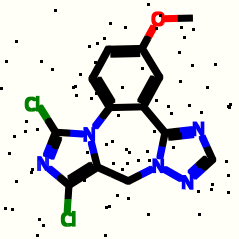 COc1ccc2c(c1)-c1ncnn1Cc1c(Cl)nc(Cl)n1-2